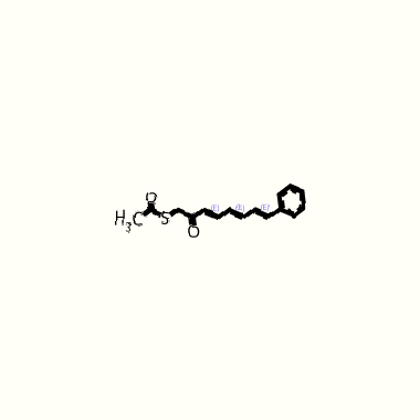 CC(=O)SCC(=O)/C=C/C=C/C=C/c1ccccc1